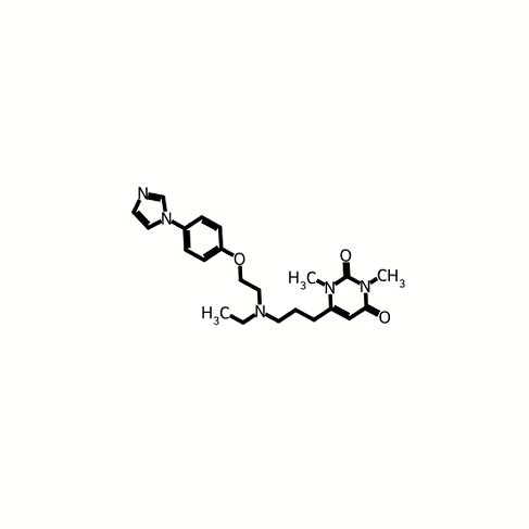 CCN(CCCc1cc(=O)n(C)c(=O)n1C)CCOc1ccc(-n2ccnc2)cc1